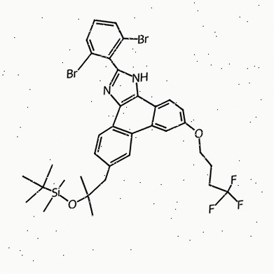 CC(C)(Cc1ccc2c(c1)c1cc(OCCCC(F)(F)F)ccc1c1[nH]c(-c3c(Br)cccc3Br)nc21)O[Si](C)(C)C(C)(C)C